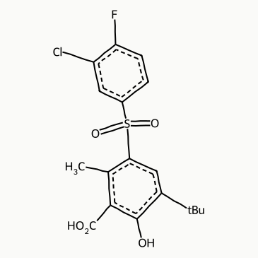 Cc1c(S(=O)(=O)c2ccc(F)c(Cl)c2)cc(C(C)(C)C)c(O)c1C(=O)O